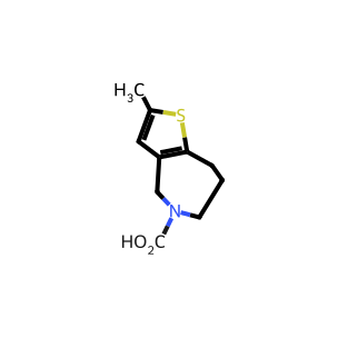 Cc1cc2c(s1)CCCN(C(=O)O)C2